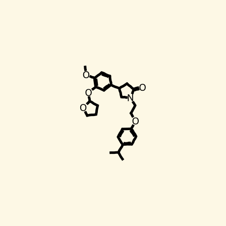 COc1ccc(C2CC(=O)N(CCOc3ccc(C(C)C)cc3)C2)cc1OC1CCCO1